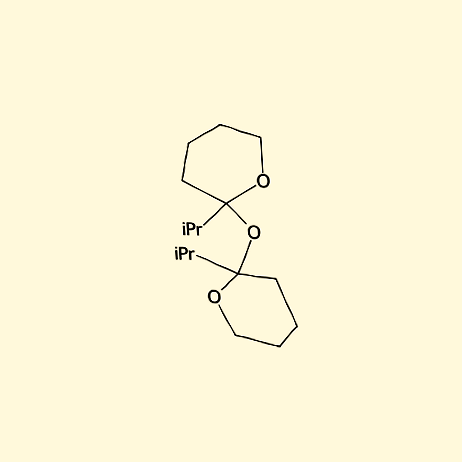 CC(C)C1(OC2(C(C)C)CCCCO2)CCCCO1